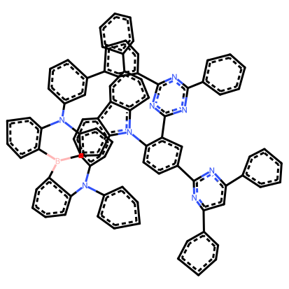 c1ccc(-c2ccc3c(c2)c2ccccc2n3-c2ccc(-c3nc(-c4ccccc4)cc(-c4ccccc4)n3)cc2-c2nc(-c3ccccc3)nc(-c3cccc(-c4cccc(N5c6ccccc6B6c7ccccc7N(c7ccccc7)c7cccc5c76)c4)c3)n2)cc1